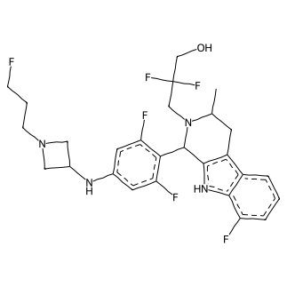 CC1Cc2c([nH]c3c(F)cccc23)C(c2c(F)cc(NC3CN(CCCF)C3)cc2F)N1CC(F)(F)CO